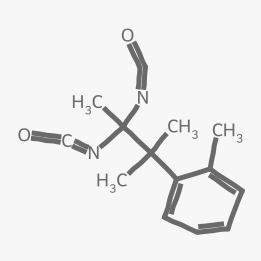 Cc1ccccc1C(C)(C)C(C)(N=C=O)N=C=O